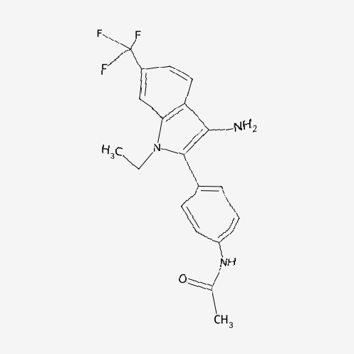 CCn1c(-c2ccc(NC(C)=O)cc2)c(N)c2ccc(C(F)(F)F)cc21